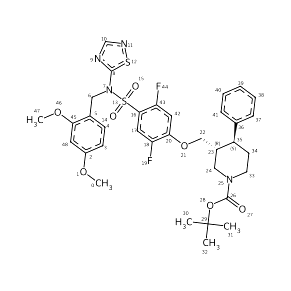 COc1ccc(CN(c2ncns2)S(=O)(=O)c2cc(F)c(OC[C@H]3CN(C(=O)OC(C)(C)C)CC[C@@H]3c3ccccc3)cc2F)c(OC)c1